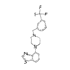 FC(F)(F)c1cccc(CN2CCN(c3cccc4scnc34)CC2)c1